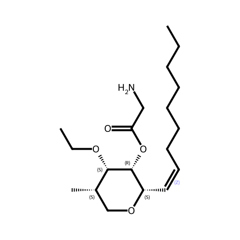 CCCCCCC/C=C\[C@@H]1OC[C@H](C)[C@H](OCC)[C@@H]1OC(=O)CN